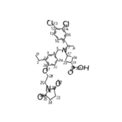 CCc1cc(CN(C(C)c2ccc(Cl)c(Cl)c2)[C@H]2C[C@@H](C(=O)O)C2)ccc1OCCN1C(=O)CCC1=O